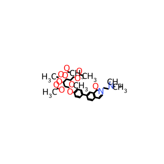 CC(=O)OCC1OC(Oc2ccc(-c3ccc4ccn(CCN(C)C)c(=O)c4c3)cc2C)C(OC(C)=O)C(OC(C)=O)C1OC(C)=O